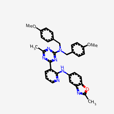 COc1ccc(CN(Cc2ccc(OC)cc2)c2nc(C)nc(-c3cccnc3Nc3ccc4oc(C)nc4c3)n2)cc1